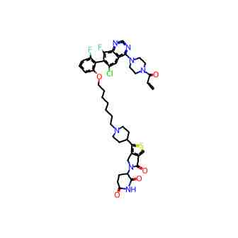 C=CC(=O)N1CCN(c2ncnc3c(F)c(-c4c(F)cccc4OCCCCCCCN4CCC(c5scc6c5CN(C5CCC(=O)NC5=O)C6=O)CC4)c(Cl)cc23)CC1